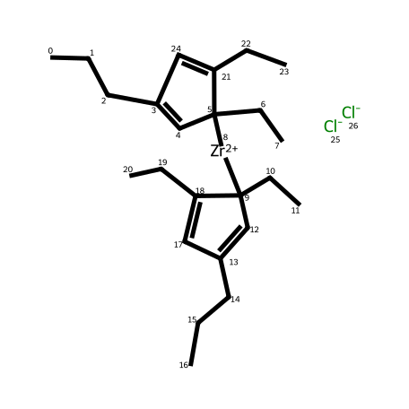 CCCC1=C[C](CC)([Zr+2][C]2(CC)C=C(CCC)C=C2CC)C(CC)=C1.[Cl-].[Cl-]